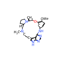 C=C1COC2=C(OC)C=CC(C2)Nc2ncnc3[nH]cc(c23)CCCN(C)C[C@@H]2CCCN12